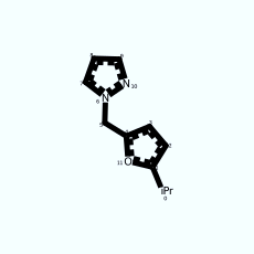 CC(C)c1ccc(Cn2cccn2)o1